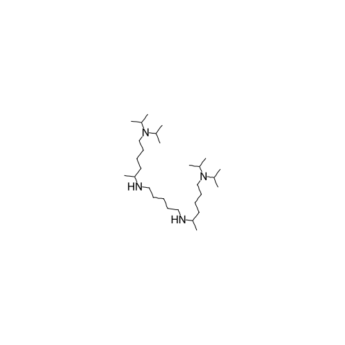 CC(CCCCN(C(C)C)C(C)C)NCCCCCNC(C)CCCCN(C(C)C)C(C)C